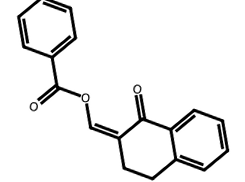 O=C(OC=C1CCc2ccccc2C1=O)c1ccccc1